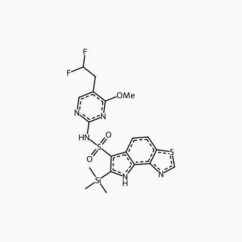 COc1nc(NS(=O)(=O)c2c([Si](C)(C)C)[nH]c3c2ccc2scnc23)ncc1CC(F)F